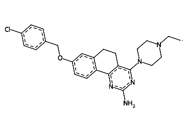 [CH2]CN1CCN(c2nc(N)nc3c2CCc2cc(OCc4ccc(Cl)cc4)ccc2-3)CC1